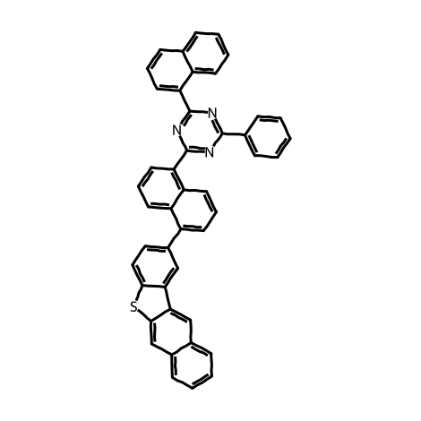 c1ccc(-c2nc(-c3cccc4ccccc34)nc(-c3cccc4c(-c5ccc6sc7cc8ccccc8cc7c6c5)cccc34)n2)cc1